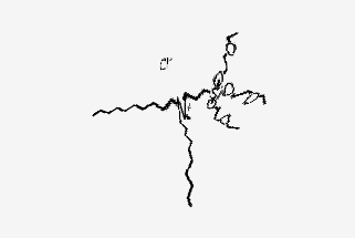 CCCCCCCCCC[N+](C)(CCCCCCCCCC)CCC[Si](OCCOCC)(OCCOCC)OCCOCC.[Cl-]